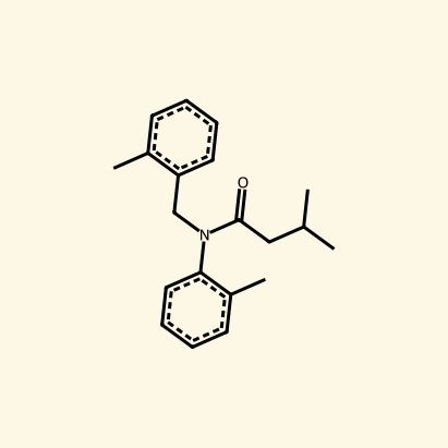 Cc1ccccc1CN(C(=O)CC(C)C)c1ccccc1C